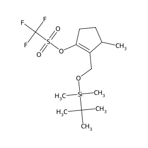 CC1CCC(OS(=O)(=O)C(F)(F)F)=C1CO[Si](C)(C)C(C)(C)C